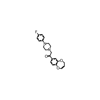 O=C(CN1CCN(c2ccc(F)cc2)CC1)c1ccc2c(c1)OCC=CO2